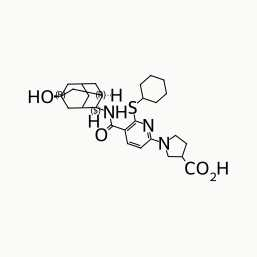 O=C(N[C@H]1C2CC3C[C@@H]1C[C@@](O)(C3)C2)c1ccc(N2CCC(C(=O)O)C2)nc1SC1CCCCC1